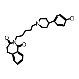 O=C1CCc2ccccc2C(=O)N1CCCCCN1CCC(c2ccc(Cl)cc2)CC1